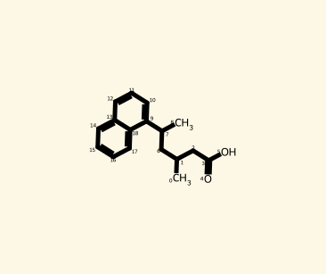 CC(CC(=O)O)CC(C)c1cccc2ccccc12